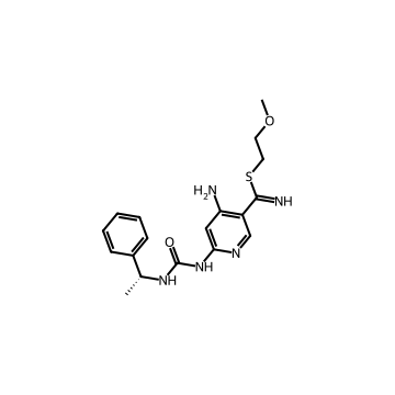 COCCSC(=N)c1cnc(NC(=O)N[C@H](C)c2ccccc2)cc1N